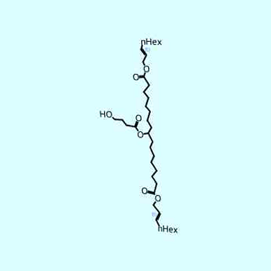 CCCCCC/C=C/COC(=O)CCCCCCCC(CCCCCCCC(=O)OC/C=C/CCCCCC)OC(=O)CCCO